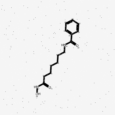 O=C(CCCCCCNC(=O)c1cc[c]cc1)NO